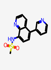 CS(=O)(=O)Nc1ccc(-c2cccnc2)c2cccnc12